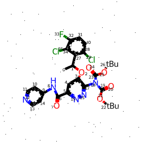 CC(Oc1cc(C(=O)Nc2ccncc2)nnc1N(C(=O)OC(C)(C)C)C(=O)OC(C)(C)C)c1c(Cl)ccc(F)c1Cl